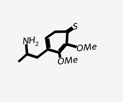 COC1=C(OC)C(CC(C)N)=CCC1=S